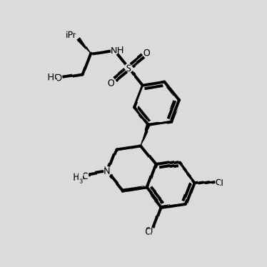 CC(C)[C@H](CO)NS(=O)(=O)c1cccc([C@@H]2CN(C)Cc3c(Cl)cc(Cl)cc32)c1